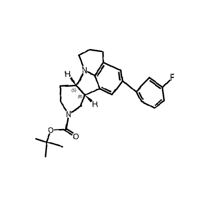 CC(C)(C)OC(=O)N1CC[C@H]2[C@@H](C1)c1cc(-c3cccc(F)c3)cc3c1N2CCC3